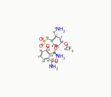 NCc1cc(OC(F)(F)F)ccc1CS(=O)(=O)Oc1cccc(C(N)=O)c1C(N)=O